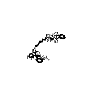 CC1(C(C(N)=O)(c2ccccc2)C2CCN(CCCCCCC[N+](C)(C)CCN3C(=O)c4ccccc4C3=O)C2)C=CC=CC1